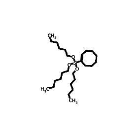 CCCCCCO[Si](OCCCCCC)(OCCCCCC)C1=CCCCCCC1